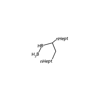 BBC(CCCCCCC)CCCCCCCC